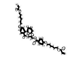 C=CC(=O)OCCCCCCOc1ccc(C(=O)OCC(COC(=O)c2ccc(OCCCCCCOC(=O)C=C)cc2)OC2CCCCO2)cc1